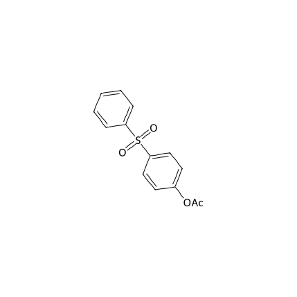 CC(=O)Oc1ccc(S(=O)(=O)c2ccccc2)cc1